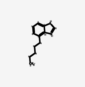 [CH2]CCCCc1cccc2scnc12